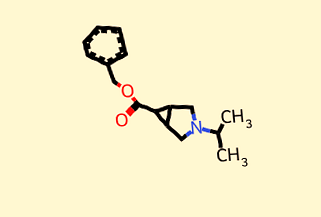 CC(C)N1CC2C(C1)C2C(=O)OCc1ccccc1